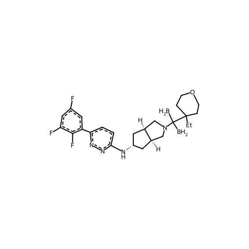 BC(B)(N1C[C@H]2C[C@H](Nc3ccc(-c4cc(F)cc(F)c4F)nn3)C[C@H]2C1)C1(CC)CCOCC1